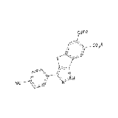 COc1cc2c(cc1C(=O)O)-c1[nH]nc(-c3ccc(C#N)cc3)c1C2